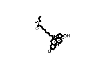 CCCN(C)C(=O)CCCCCCCC1CC2CC(=O)CC[C@]2(C)[C@@H]2CC[C@]3(C)C(O)CC[C@H]3[C@H]12